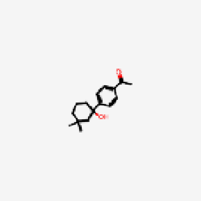 CC(=O)c1ccc(C2(O)CCCC(C)(C)C2)cc1